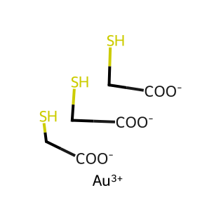 O=C([O-])CS.O=C([O-])CS.O=C([O-])CS.[Au+3]